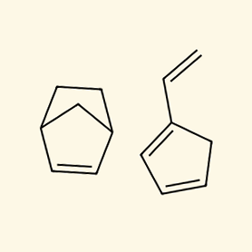 C1=CC2CCC1C2.C=CC1=CC=CC1